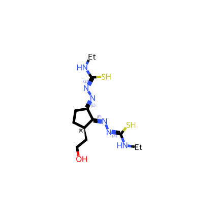 CCN/C(S)=N/N=C1\CC[C@H](CCO)\C1=N/N=C(\S)NCC